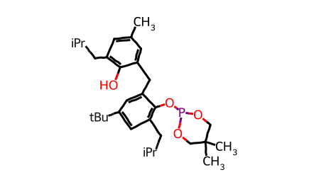 Cc1cc(Cc2cc(C(C)(C)C)cc(CC(C)C)c2OP2OCC(C)(C)CO2)c(O)c(CC(C)C)c1